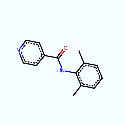 Cc1cccc(C)c1NC(=O)c1ccncc1